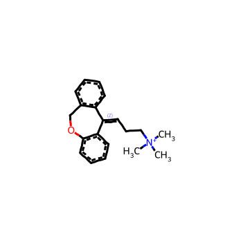 C[N+](C)(C)CC/C=C1/c2ccccc2COc2ccccc21